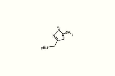 CCCCCc1cc(N)[nH]n1